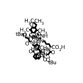 Cc1c(C)c(S(=O)(=O)NC(=N)NCCC[C@H](NC(=O)[C@H](COC(C)(C)C)NC(=O)[C@@H]2CCCN2C(=O)[C@@H]2CCCN2C(=O)[C@@H]2CCCN2C(=O)[C@H](C)NC(=O)CNC(=O)[C@@H](N)COC(C)(C)C)C(=O)O)c(C)c2c1OC(C)(C)C2